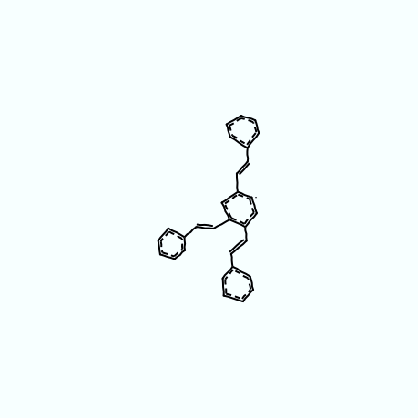 [c]1cc(/C=C/c2ccccc2)c(/C=C/c2ccccc2)cc1/C=C/c1ccccc1